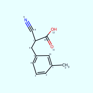 Cc1cccc(CC(C#N)C(=O)O)c1